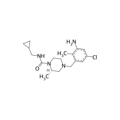 Cc1c(N)cc(Cl)cc1CN1CCN(C(=O)NCC2CC2)[C@@H](C)C1